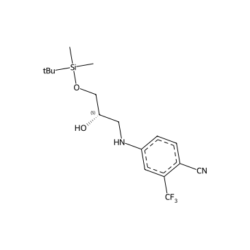 CC(C)(C)[Si](C)(C)OC[C@@H](O)CNc1ccc(C#N)c(C(F)(F)F)c1